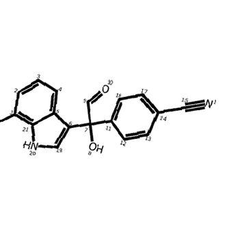 Cc1cccc2c(C(O)(C=O)c3ccc(C#N)cc3)c[nH]c12